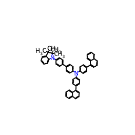 CC1(C)c2ccccc2N(c2ccc(-c3ccc(N(c4ccc(-c5cccc6ccccc56)cc4)c4ccc(-c5cccc6ccccc56)cc4)cc3)cc2)C1(C)C